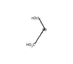 CCCCCCCCC=CCCCCCCCCCCCC(=O)OCCCCCCCCCCCCCCCCCCCC(=O)O